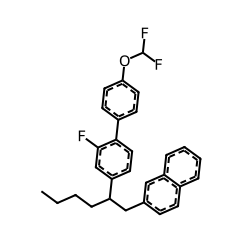 CCCCC(Cc1ccc2ccccc2c1)c1ccc(-c2ccc(OC(F)F)cc2)c(F)c1